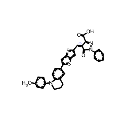 Cc1ccc(N2CCCc3cc(-c4cc5sc(/C=C6\C(=O)N(c7ccccc7)N=C6C(=O)O)cc5s4)ccc32)cc1